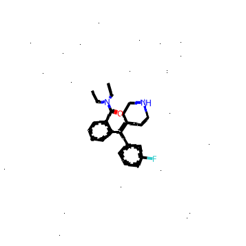 CCN(CC)C(=O)c1ccccc1C(=C1CCNCC1)c1cccc(F)c1